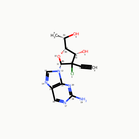 C#CC1(Cl)[C@@H](O)[C@@H]([C@H](C)O)O[C@H]1n1cnc2cnc(N)nc21